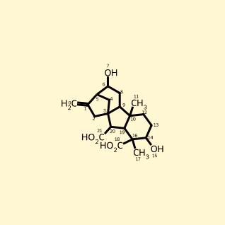 C=C1CC23CC1C(O)CC2C1(C)CCC(O)C(C)(C(=O)O)C1C3C(=O)O